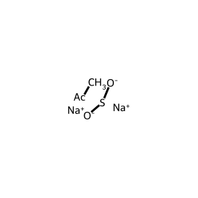 CC(C)=O.[Na+].[Na+].[O-]S[O-]